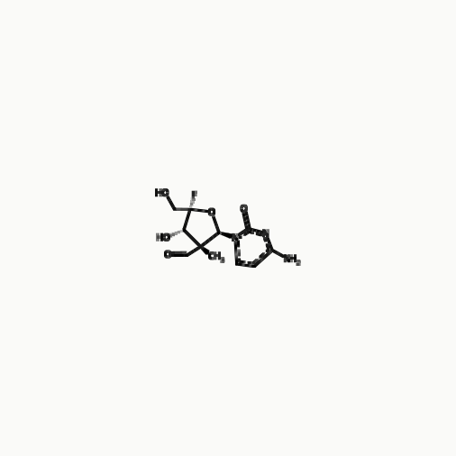 C[C@]1(C=O)[C@H](n2ccc(N)nc2=O)O[C@](F)(CO)[C@H]1O